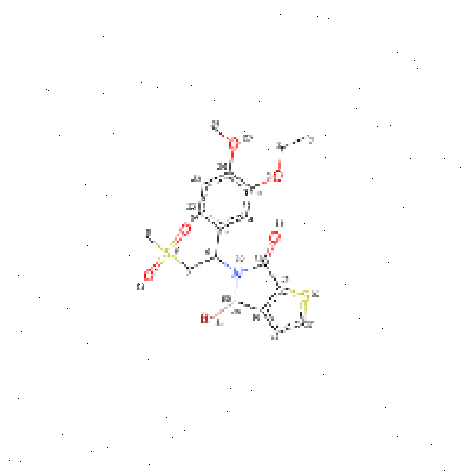 CCOc1cc(C(CS(C)(=O)=O)N2C(=O)c3sccc3[C@@H]2Br)ccc1OC